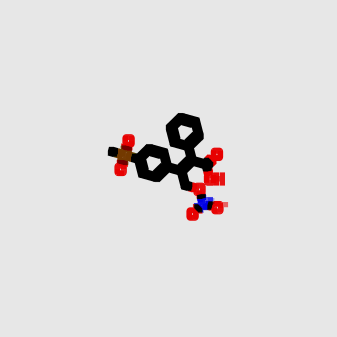 CS(=O)(=O)c1ccc(/C(CO[N+](=O)[O-])=C(/C(=O)O)c2ccccc2)cc1